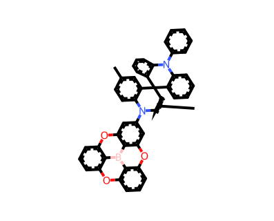 Cc1ccc2c(c1)C1(c3ccccc3N(c3ccccc3)c3ccccc31)c1cc(C)ccc1N2c1cc2c3c(c1)Oc1cccc4c1B3c1c(cccc1O2)O4